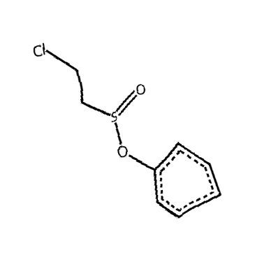 O=S(CCCl)Oc1ccccc1